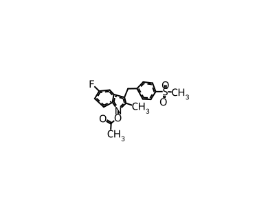 CC(=O)On1c(C)c(Cc2ccc(S(C)(=O)=O)cc2)c2cc(F)ccc21